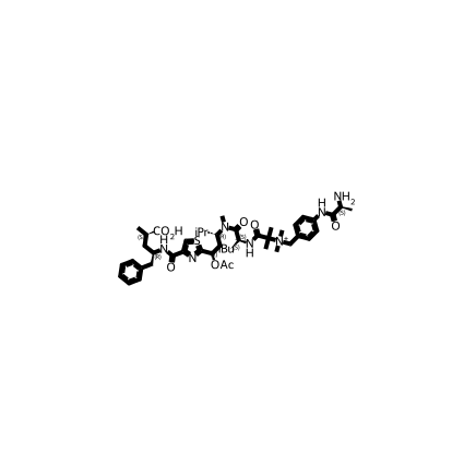 CC[C@H](C)[C@H](NC(=O)C(C)(C)[N+](C)(C)Cc1ccc(NC(=O)[C@H](C)N)cc1)C(=O)N(C)[C@H](C[C@@H](OC(C)=O)c1nc(C(=O)N[C@@H](Cc2ccccc2)C[C@H](C)C(=O)O)cs1)C(C)C